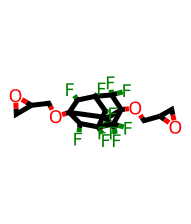 FC1C2(F)C(F)C3(OCC4CO4)C(F)C1(F)C(F)(F)C(OCC1CO1)(C2(F)F)C3(F)F